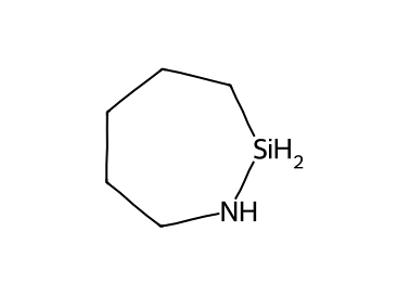 C1CCN[SiH2]CC1